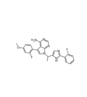 COc1ccc(-c2cn(C(C)c3cnc(-c4ccccc4F)[nH]3)c3ncnc(N)c23)c(F)c1